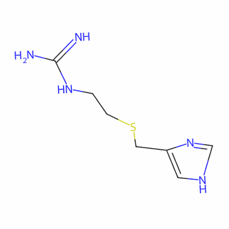 N=C(N)NCCSCc1c[nH]cn1